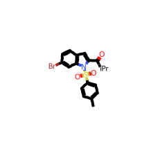 Cc1ccc(S(=O)(=O)n2c(C(=O)C(C)C)cc3ccc(Br)cc32)cc1